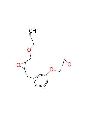 C#CCOCC1OC1Cc1cccc(OCC2CO2)c1